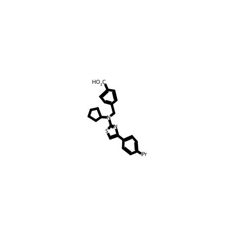 CC(C)c1ccc(-c2csc(N(Cc3ccc(C(=O)O)cc3)C3CCCC3)n2)cc1